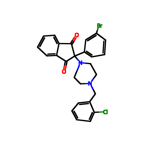 O=C1c2ccccc2C(=O)C1(c1cccc(Br)c1)N1CCN(Cc2ccccc2Cl)CC1